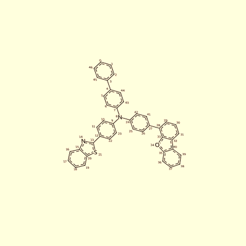 c1ccc(-c2ccc(N(c3ccc(-c4nc5ccccc5s4)cc3)c3ccc(-c4cccc5c4oc4ccccc45)cc3)cc2)cc1